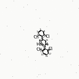 Clc1cccc(Cl)c1C1=NNN(c2c(Cl)cccc2Cl)N=C1